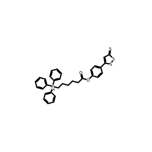 O=C(CCCCC[PH](c1ccccc1)(c1ccccc1)c1ccccc1)Oc1ccc(-c2cc(=S)ss2)cc1